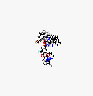 Cc1cc(Oc2c(C)cc(C(=O)N[C@H](C)C(=O)N3[C@H](C4C=C(Br)C=CC4C)CC[C@@H]3C(C)(C)C#N)cc2F)c(=O)[nH]n1